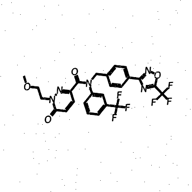 COCCn1nc(C(=O)N(Cc2ccc(-c3noc(C(F)(F)F)n3)cc2)c2cccc(C(F)(F)F)c2)ccc1=O